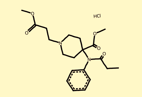 CCC(=O)N(c1ccccc1)C1(C(=O)OC)CCN(CCC(=O)OC)CC1.Cl